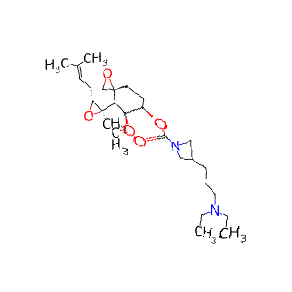 CCN(CC)CCCC1CN(C(=O)O[C@@H]2CC[C@]3(CO3)C([C@@]3(C)O[C@@H]3CC=C(C)C)[C@@H]2OC)C1